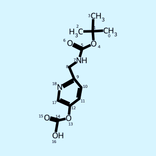 CC(C)(C)OC(=O)NCc1ccc(OC(=O)O)cn1